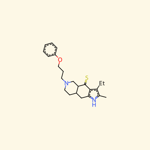 CCc1c(C)[nH]c2c1C(=S)C1CN(CCCOc3ccccc3)CCC1C2